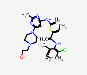 C=C(Nc1cc(N2CCN(CCO)CC2)nc(C)n1)S/C(=C\C)C(=C)NC(/C(C)=C\C)=C(/C)Cl